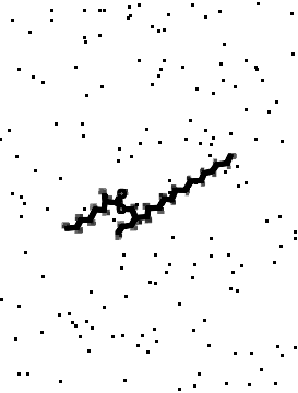 CCCCCCCCCCCCCCC(CCC)COC(=O)C(C)CCCCCC